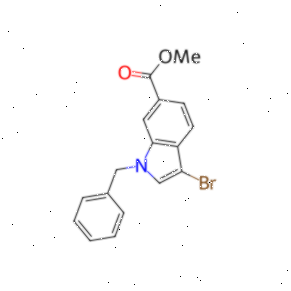 COC(=O)c1ccc2c(Br)cn(Cc3ccccc3)c2c1